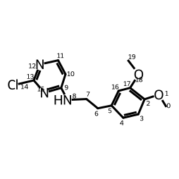 COc1ccc(CCNc2ccnc(Cl)n2)cc1OC